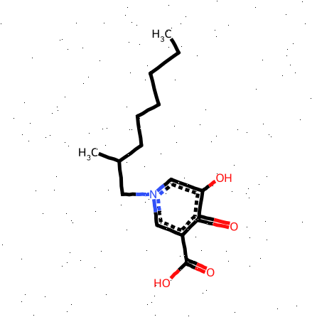 CCCCCCC(C)Cn1cc(O)c(=O)c(C(=O)O)c1